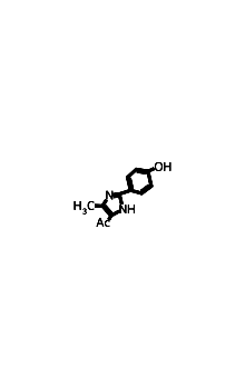 CC(=O)c1[nH]c(-c2ccc(O)cc2)nc1C